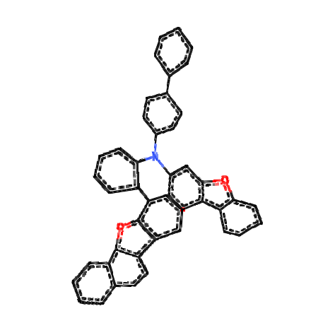 c1ccc(-c2ccc(N(c3ccc4c(c3)oc3ccccc34)c3ccccc3-c3cccc4c3oc3c5ccccc5ccc43)cc2)cc1